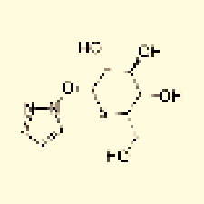 OC[C@@H]1S[C@H](On2cccn2)[C@H](O)[C@@H](O)[C@@H]1O